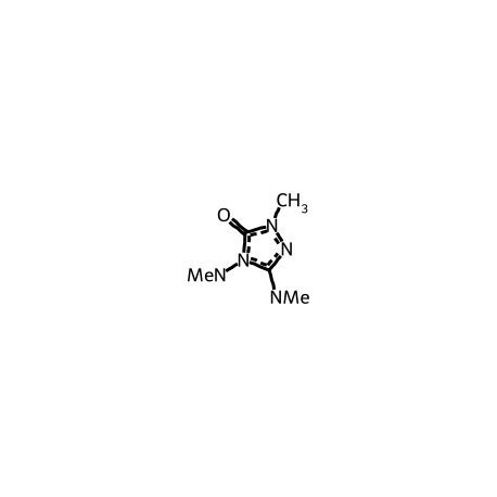 CNc1nn(C)c(=O)n1NC